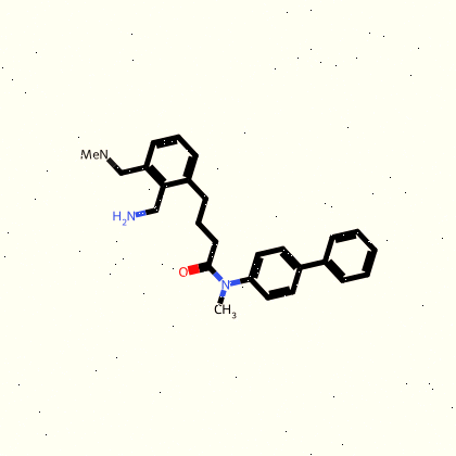 CNCc1cccc(CCCC(=O)N(C)c2ccc(-c3ccccc3)cc2)c1CN